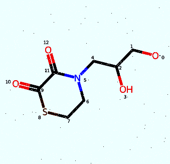 [O]CC(O)CN1CCSC(=O)C1=O